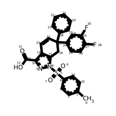 Cc1ccc(S(=O)(=O)n2nc(C(=O)O)c3c2CC(c2ccccc2)(c2ccc(F)c(F)c2)C=C3)cc1